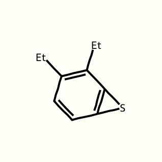 CCc1ccc2c(c1CC)S2